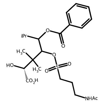 CC(=O)NCCCS(=O)(=O)OC(C(OC(=O)c1ccccc1)C(C)C)C(C)(C)[C@@H](O)C(=O)O